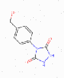 O=c1[nH][nH]c(=O)n1-c1ccc(CO)cc1